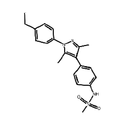 [CH2]Cc1ccc(-n2nc(C)c(-c3ccc(NS(C)(=O)=O)cc3)c2C)cc1